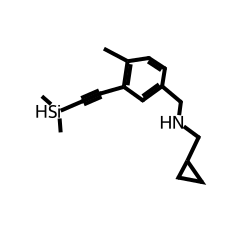 Cc1ccc(CNCC2CC2)cc1C#C[SiH](C)C